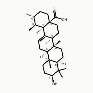 C[C@H]1[C@H](C)CC[C@]2(C(=O)O)CC[C@]3(C)C(=CC[C@@H]4[C@@]5(C)CC[C@H](O)C(C)(C)[C@@H]5CC[C@]43C)[C@@H]12